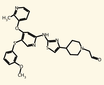 COc1cccc(Sc2cnc(Nc3nc(C4CCN(CC=O)CC4)cs3)cc2Oc2cccnc2C)c1